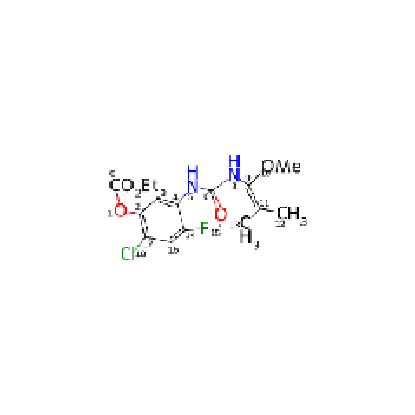 CCOC(=O)Oc1cc(NC(=O)NC(OC)=C(C)C)c(F)cc1Cl